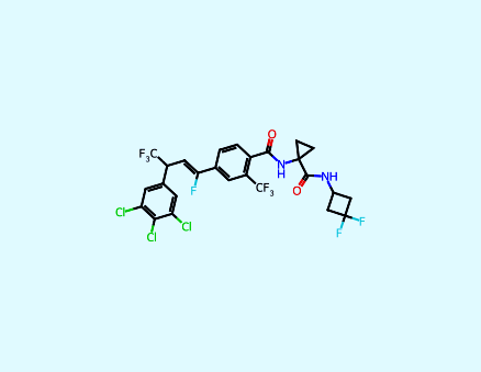 O=C(NC1(C(=O)NC2CC(F)(F)C2)CC1)c1ccc(C(F)=CC(c2cc(Cl)c(Cl)c(Cl)c2)C(F)(F)F)cc1C(F)(F)F